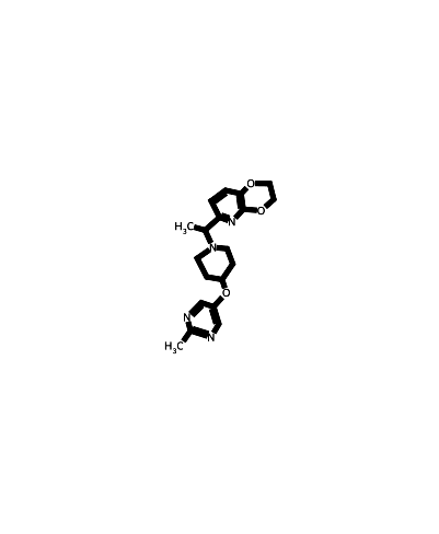 Cc1ncc(OC2CCN(C(C)c3ccc4c(n3)OCCO4)CC2)cn1